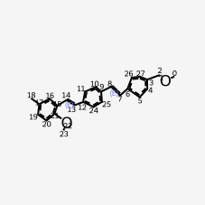 COCc1ccc(/C=C/c2ccc(/C=C/c3cc(C)ccc3OC)cc2)cc1